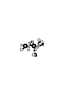 CC1(C)CN(Oc2cc3ncnc(Nc4ccc(F)c(Cl)c4)c3cc2OC[C@@H]2CCCO2)CC(=O)O1